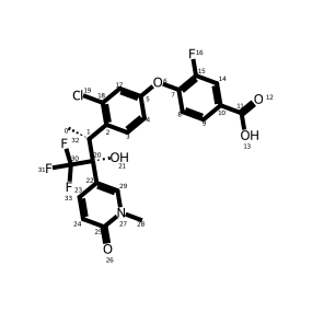 C[C@H](c1ccc(Oc2ccc(C(=O)O)cc2F)cc1Cl)[C@@](O)(c1ccc(=O)n(C)c1)C(F)(F)F